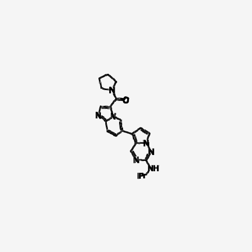 CC(C)Nc1ncc2c(-c3ccc4ncc(C(=O)N5CCCC5)n4c3)ccn2n1